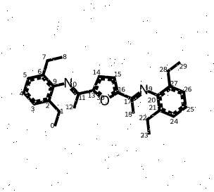 CCc1cccc(CC)c1/N=C(\C)c1ccc(/C(C)=N/c2c(CC)cccc2CC)o1